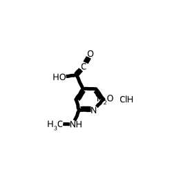 CNc1cc(C(O)=C=O)ccn1.Cl.O